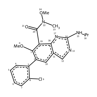 COc1c(-c2ccccc2Cl)cc2cnc(NC(C)C)nc2c1C(=O)N(C)OC